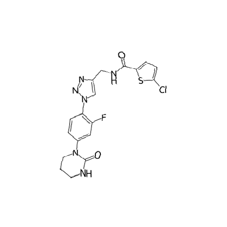 O=C(NCc1cn(-c2ccc(N3CCCNC3=O)cc2F)nn1)c1ccc(Cl)s1